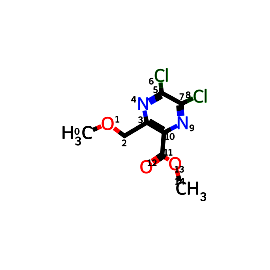 COCc1nc(Cl)c(Cl)nc1C(=O)OC